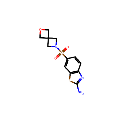 Nc1nc2ccc(S(=O)(=O)N3CC4(COC4)C3)cc2s1